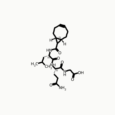 CC(C)C[C@H](NC(=O)C1[C@H]2CCC#CCC[C@@H]12)C(=O)N[C@@H](CCC(N)=O)C(=O)NCC(=O)O